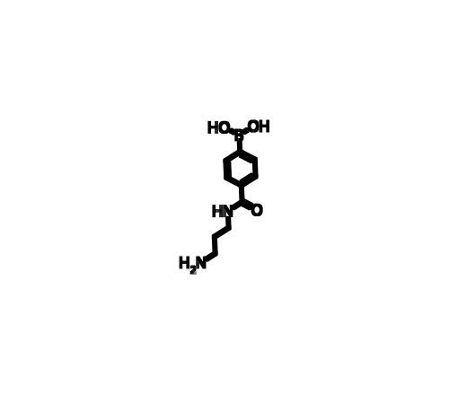 NCCCNC(=O)c1ccc(B(O)O)cc1